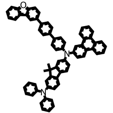 CC1(C)c2cc(N(c3ccccc3)c3ccccc3)ccc2-c2ccc(N(c3ccc(-c4ccc(-c5ccc6oc7ccccc7c6c5)cc4)cc3)c3ccc4c5ccccc5c5ccccc5c4c3)cc21